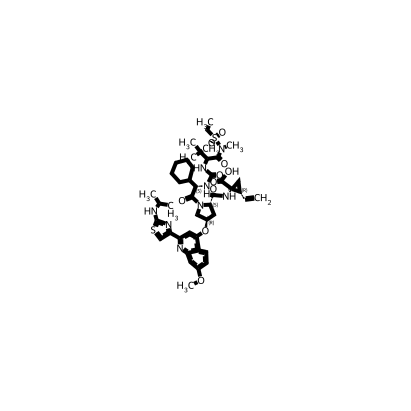 C=C[C@H]1C[C@]1(NC(=O)[C@@H]1C[C@@H](Oc2cc(-c3csc(NC(C)C)n3)nc3cc(OC)ccc23)CN1C(=O)[C@@H](NC(=O)NC(C(=O)N(C)S(=O)(=O)CC)C(C)(C)C)C1CCCCC1)C(=O)O